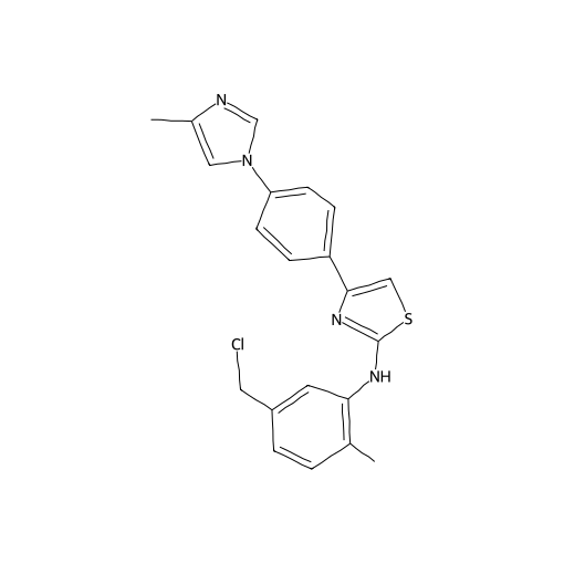 Cc1cn(-c2ccc(-c3csc(Nc4cc(CCl)ccc4C)n3)cc2)cn1